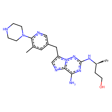 CCC[C@@H](CCO)Nc1nc(N)c2ncc(Cc3cnc(N4CCNCC4)c(C)c3)n2n1